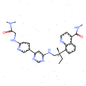 CC[C@](C)(CNc1cc(-c2ccc(NCC(=O)N(C)C)nc2)ncn1)c1cccc2c(C(=O)NC)ccnc12